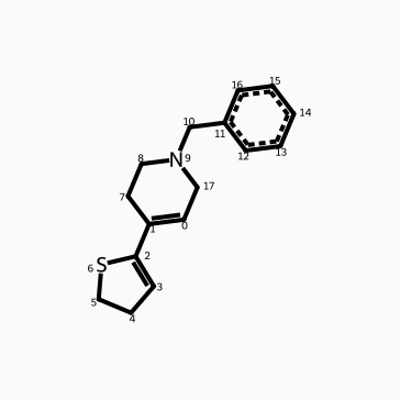 C1=C(C2=CCCS2)CCN(Cc2ccccc2)C1